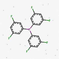 Fc1cc(F)cc(P(c2cc(F)cc(F)c2)c2cc(F)cc(F)c2)c1